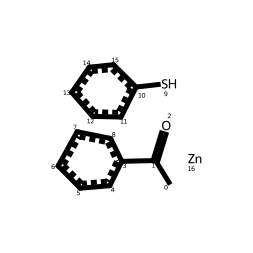 CC(=O)c1ccccc1.Sc1ccccc1.[Zn]